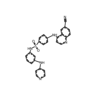 N#Cc1ccc2nccc(Nc3ccc(S(=O)(=O)Nc4cccc(Nc5ccncc5)c4)cc3)c2c1